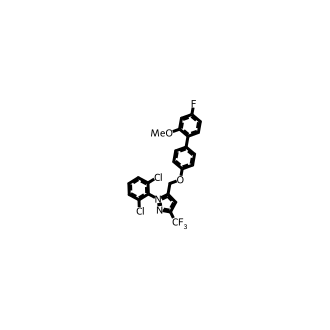 COc1cc(F)ccc1-c1ccc(OCc2cc(C(F)(F)F)nn2-c2c(Cl)cccc2Cl)cc1